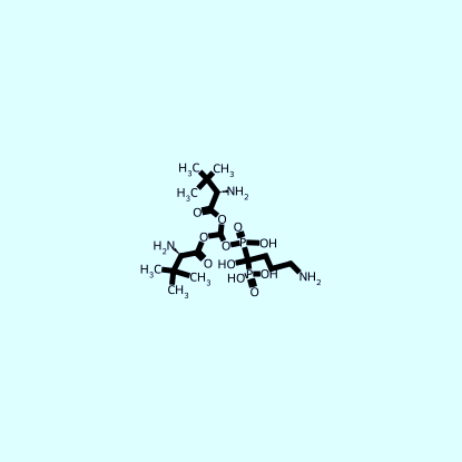 CC(C)(C)[C@H](N)C(=O)OC(OC(=O)[C@@H](N)C(C)(C)C)OP(=O)(O)C(O)(CCCN)P(=O)(O)O